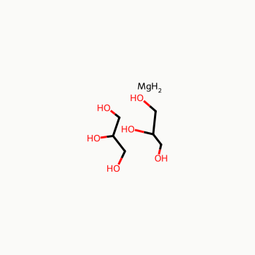 OCC(O)CO.OCC(O)CO.[MgH2]